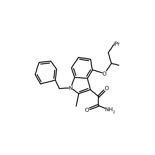 Cc1c(C(=O)C(N)=O)c2c(OC(C)CC(C)C)cccc2n1Cc1ccccc1